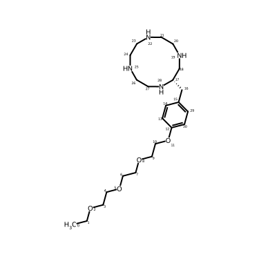 CCOCCOCCOCCOc1ccc(C[C@H]2CNCCNCCNCCN2)cc1